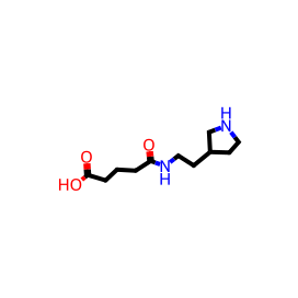 O=C(O)CCCC(=O)NCCC1CCNC1